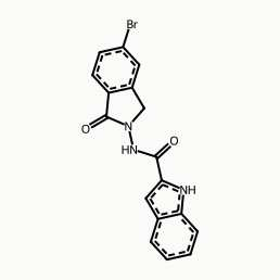 O=C(NN1Cc2cc(Br)ccc2C1=O)c1cc2ccccc2[nH]1